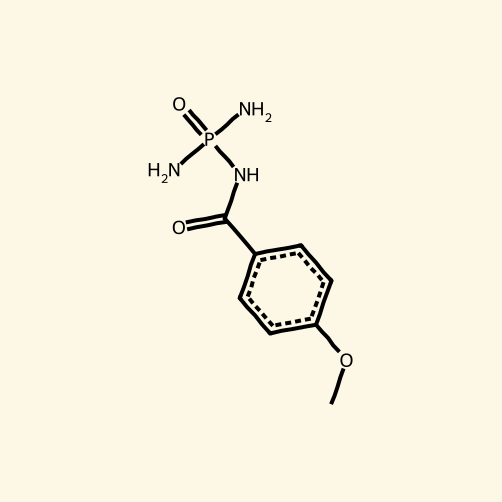 COc1ccc(C(=O)NP(N)(N)=O)cc1